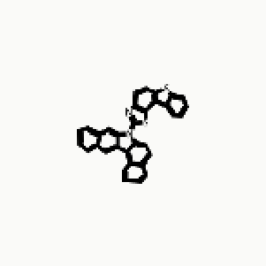 c1ccc2cc3c(cc2c1)c1c2ccccc2ccc1n3-c1nc2ccc3sc4ccccc4c3c2s1